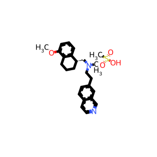 COc1cccc2c1CCC[C@H]2CN(C)CCc1ccc2ccncc2c1.CS(=O)(=O)O